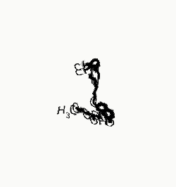 COCCOCC(O)OCn1c(=O)ccc2ccc(OCCCCN3CCN(c4cccc(Cl)c4Cl)CC3)cc21